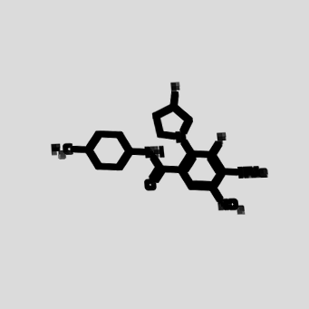 CNc1c([N+](=O)[O-])cc(C(=O)NC2CCC(C(F)(F)F)CC2)c(N2CCC(F)C2)c1F